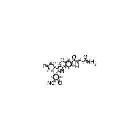 N#Cc1ccc(N2N=C3c4ccc(C(=O)NCCC(N)=O)cc4CCC3C2C2C=CC(F)=CC2)cc1Cl